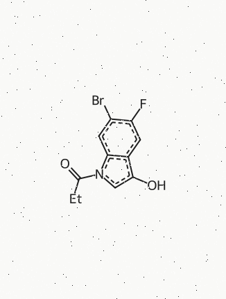 CCC(=O)n1cc(O)c2cc(F)c(Br)cc21